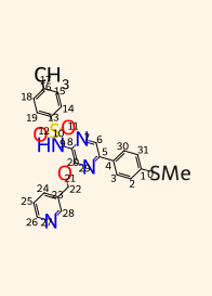 CSc1ccc(-c2cnc(NS(=O)(=O)c3ccc(C)cc3)c(OCc3cccnc3)n2)cc1